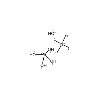 C[N+](C)(C)C.O[Si](O)(O)O.[OH-]